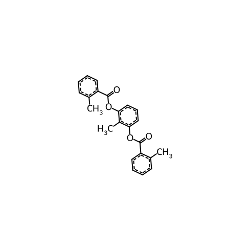 Cc1ccccc1C(=O)Oc1cccc(OC(=O)c2ccccc2C)c1C